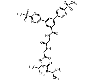 CC(C)NC(=O)[C@@H](NC(=O)CNC(=O)CNC(=O)c1cc(-c2cnc(S(C)(=O)=O)nc2)cc(-c2cnc(S(C)(=O)=O)nc2)c1)C(C)C